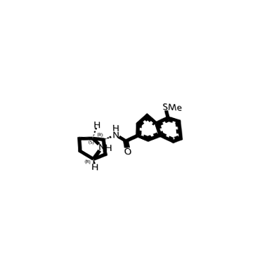 CSc1cccc2cc(C(=O)N[C@@H]3C[C@H]4CC[C@@H]3N4)ccc12